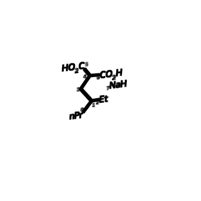 CCCC(CC)CC(C(=O)O)C(=O)O.[NaH]